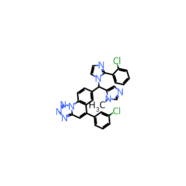 Cn1cncc1C(c1ccc2c(c1)c(-c1cccc(Cl)c1)cc1nnnn12)n1ccnc1-c1ccccc1Cl